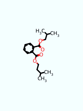 CC(C)CCOC(=O)c1ccccc1C(=O)OCC(C)C